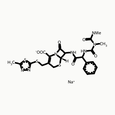 CNC(=O)N(C)C(=O)NC(C(=O)NC1C(=O)N2C(C(=O)[O-])=C(CSc3nnc(C)s3)CS[C@@H]12)c1ccccc1.[Na+]